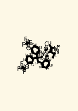 Cc1nn(C)c(Cl)c1S(=O)(=O)NCC(Cc1ccccc1)(c1cccc(OC(F)(F)F)c1)c1cccc(OC(F)(F)F)c1